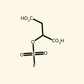 O=C(O)CC(OS(=O)(=O)F)C(=O)O